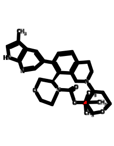 Cc1c[nH]c2ncc(-c3ccc4c(c3[C@@H]3COCCN3C(=O)OC(C)(C)C)CN(C3CCOCC3)CC4)cc12